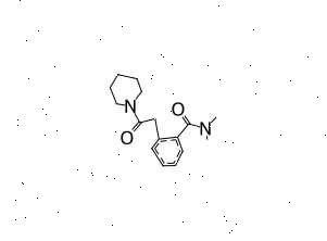 CN(C)C(=O)c1ccccc1CC(=O)N1CCCCC1